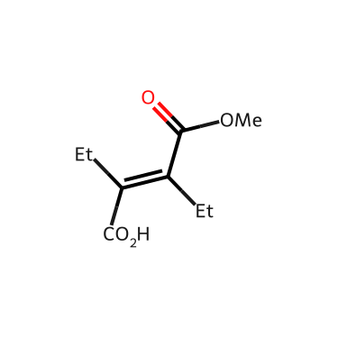 CC/C(C(=O)O)=C(/CC)C(=O)OC